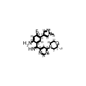 C[C@@H]1CN(c2cc(C(=N)c3cc(-c4cnn(C)c4)c(F)cc3N)ncn2)CCO1